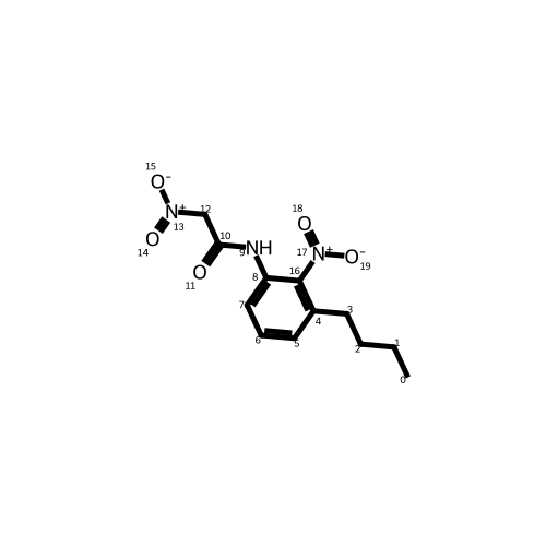 CCCCc1cccc(NC(=O)C[N+](=O)[O-])c1[N+](=O)[O-]